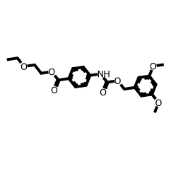 CCOCCOC(=O)c1ccc(NC(=O)OCc2cc(OC)cc(OC)c2)cc1